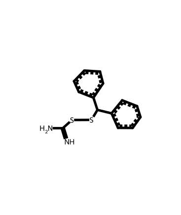 N=C(N)SSC(c1ccccc1)c1ccccc1